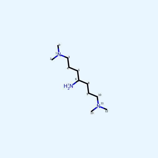 CN(C)CCC[C](N)CCCN(C)C